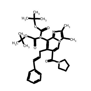 Cc1nc2c(N(C(=O)OC(C)(C)C)C(=O)OC(C)(C)C)c(CC=Cc3ccccc3)c(C(=O)N3CCCC3)cn2c1C